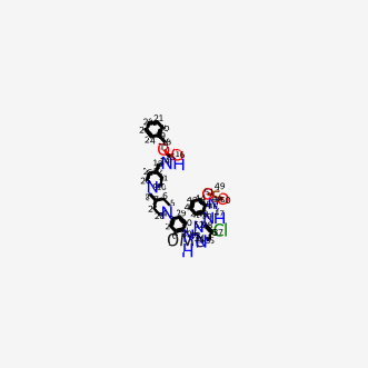 COc1cc(N2CCC(CN3CCC(CNC(=O)OCc4ccccc4)CC3)CC2)ccc1Nc1ncc(Cl)c(Nc2ccccc2N(C)S(C)(=O)=O)n1